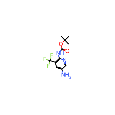 CC(C)(C)OC(=O)Nc1ncc(N)cc1C(F)(F)F